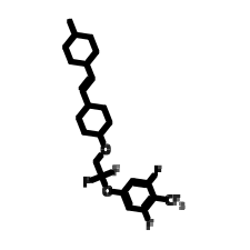 CC1CCC(/C=C/C2CCC(OCC(F)(F)Oc3cc(F)c(C(F)(F)F)c(F)c3)CC2)CC1